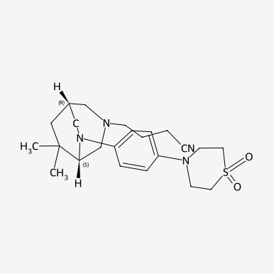 CC1(C)C[C@@H]2CN(CCCC#N)C[C@H]1N(c1ccc(N3CCS(=O)(=O)CC3)cc1)C2